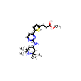 COC(=O)CCc1ccc(-c2ccnc(NC3CC(C)(C)NC(C)(C)C3)n2)s1